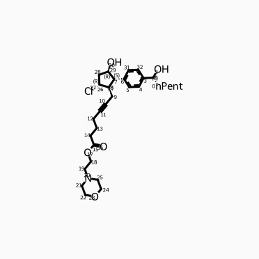 CCCCC[C@@H](O)c1ccc([C@@H]2[C@@H](CC#CCCCC(=O)OCCN3CCOCC3)[C@H](Cl)C[C@H]2O)cc1